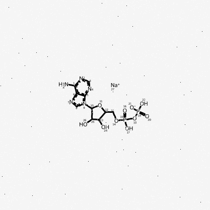 Nc1ncnc2c1ncn2C1OC(COP(=O)(O)OP(=O)([O-])O)C(O)C1O.[Na+]